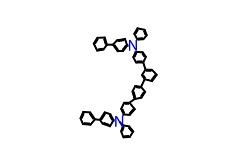 c1ccc(-c2ccc(N(c3ccccc3)c3ccc(-c4ccc(-c5cccc(-c6ccc(N(c7ccccc7)c7ccc(-c8ccccc8)cc7)cc6)c5)cc4)cc3)cc2)cc1